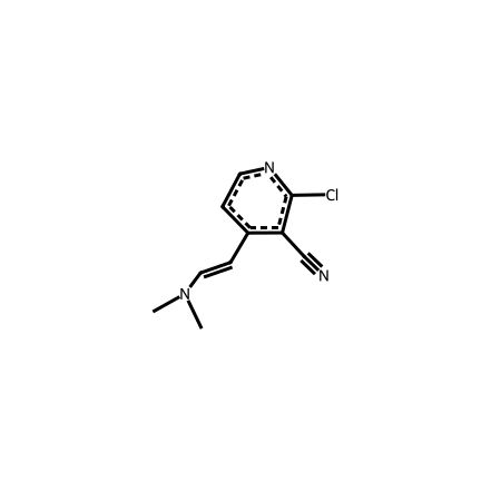 CN(C)/C=C/c1ccnc(Cl)c1C#N